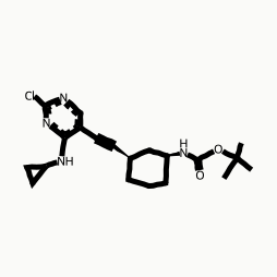 CC(C)(C)OC(=O)N[C@H]1CCC[C@@H](C#Cc2cnc(Cl)nc2NC2CC2)C1